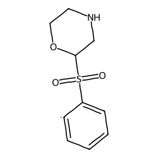 O=S(=O)(c1[c]cccc1)C1CNCCO1